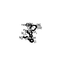 CC[C@H](OC)[C@@H](C)C1OC1C(N(CCCO)Cc1ccc(Cl)cc1)C(C)(O)/C=C/C=C(\C)[C@H]1OC(=O)CC(CC(C)(C)[Si](C)(C)O)CCC(C)(O)[C@@H](OC(C)=O)/C=C/C1C